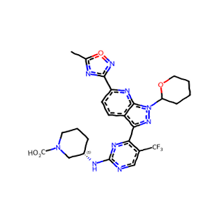 Cc1nc(-c2ccc3c(-c4nc(N[C@H]5CCCN(C(=O)O)C5)ncc4C(F)(F)F)nn(C4CCCCO4)c3n2)no1